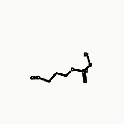 CCO[PH](=O)OCCCC=O